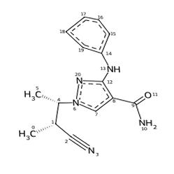 C[C@@H](C#N)[C@H](C)n1cc(C(N)=O)c(Nc2ccccc2)n1